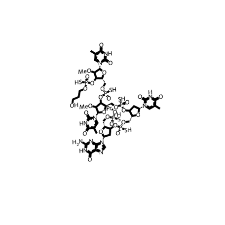 COC1C(OP(=O)(S)OC[C@H]2O[C@@H](n3cc(C)c(=O)[nH]c3=O)C(OC)C2OP(=O)(S)OCCCO)[C@@H](COP(=O)(S)OC2C[C@H](n3cc(C)c(=O)[nH]c3=O)O[C@@H]2COP(=O)(S)OC2C[C@H](n3cnc4c(=O)[nH]c(N)nc43)O[C@@H]2COP(=O)(S)OC(C)C)O[C@H]1n1cc(C)c(=O)[nH]c1=O